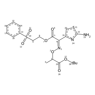 CC(ON=C(C(=O)OCCS(=O)(=O)c1ccccc1)c1csc(N)n1)C(=O)OC(C)(C)C